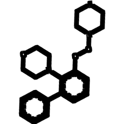 c1ccc(-c2cccc(OON3CCSCC3)c2N2CCOCC2)cc1